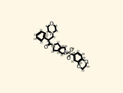 O=C(C(CN1CCOCC1)c1ccccc1)N1CC2=C(C1)CN(S(=O)(=O)c1ccc3c(c1)OCCO3)C2